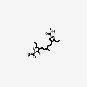 CCC1=NN(C(=O)NC)C(=O)C1=CC=C(C)C=Cc1cn(C(=O)NC)nc1CC